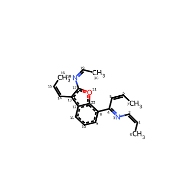 C\C=C/N=C(\C=C/C)c1cccc2c(/C=C\C)c(/N=C\C)oc12